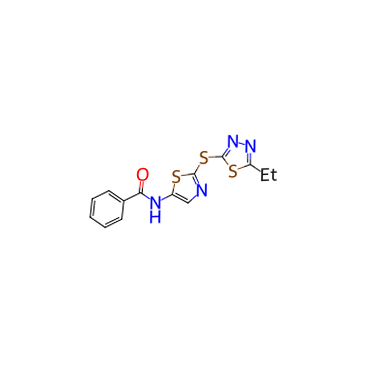 CCc1nnc(Sc2ncc(NC(=O)c3ccccc3)s2)s1